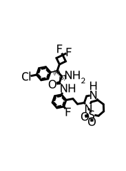 N[C@H](C(=O)Nc1cccc(F)c1CCC1CNC2CCCS(=O)(=O)N1C2)[C@@H](c1ccc(Cl)cc1)C1CC(F)(F)C1